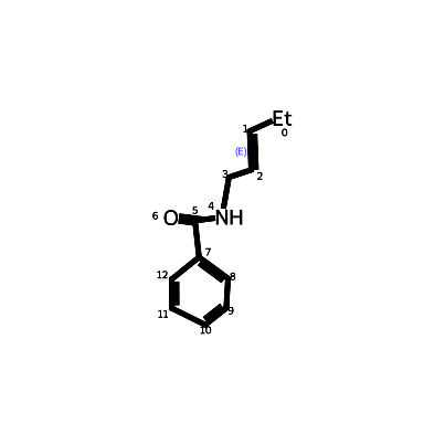 CC/C=C/CNC(=O)c1ccccc1